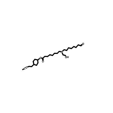 CCCCCC1CCC(OC(=O)CCCCCCCN(CCO)CCCCCCCC=O)CC1